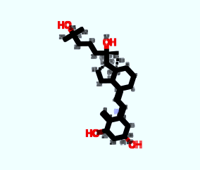 C=C1/C(=C\C=C2CCC[C@@]3(C)C2CC[C@@H]3[C@@](C)(O)CCCC(C)(C)O)C[C@@H](O)CC1O